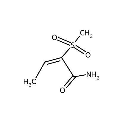 C/C=C(\C(N)=O)S(C)(=O)=O